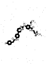 CS(=O)(=O)CCNC(=O)c1ccc(Nc2nc3ccc(-c4ccc(NC(=O)Cc5ccc(F)cc5)cc4)cn3n2)cc1OCC(F)(F)F